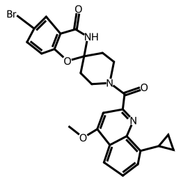 COc1cc(C(=O)N2CCC3(CC2)NC(=O)c2cc(Br)ccc2O3)nc2c(C3CC3)cccc12